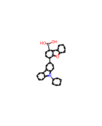 OB(O)c1ccc(-c2ccc3c(c2)c2ccccc2n3-c2ccccc2)c2oc3ccccc3c12